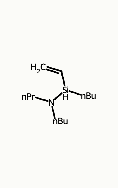 C=C[SiH](CCCC)N(CCC)CCCC